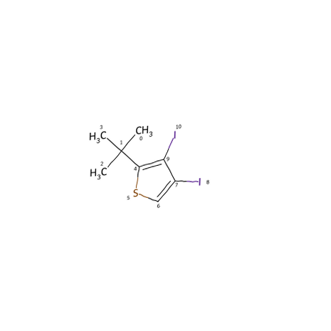 CC(C)(C)c1scc(I)c1I